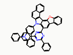 C1=CCC(c2nc(-c3ccccc3)nc(-c3cc4c5ccccc5oc4c4c5c6ccccc6ccc5n(-c5ccc6c(c5)c5ccccc5n6-c5ccccc5)c34)n2)C=C1